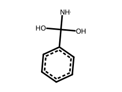 [NH]C(O)(O)c1ccccc1